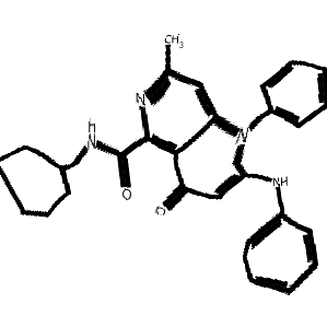 Cc1cc2c(c(C(=O)NC3CCCCC3)n1)c(=O)cc(Nc1ccccc1)n2-c1ccccc1